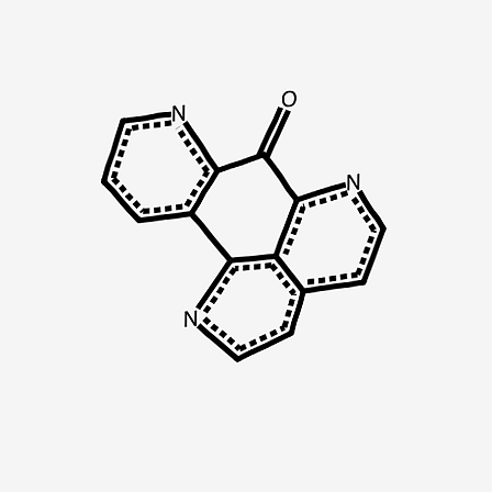 O=C1c2ncccc2-c2nccc3ccnc1c23